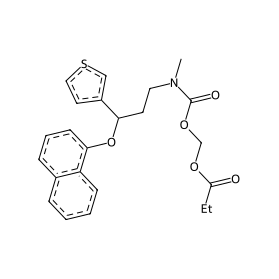 CCC(=O)OCOC(=O)N(C)CCC(Oc1cccc2ccccc12)c1ccsc1